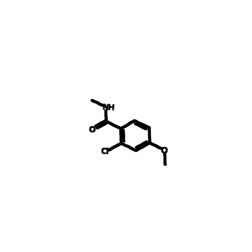 CNC(=O)c1ccc(OC)cc1Cl